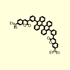 CCN(CC)c1ccc2cc(-c3cccc(-c4c5ccccc5c(-c5c6ccccc6c(-c6cccc(-c7cc8ccc(N(CC)CC)cc8oc7=O)c6)c6ccccc56)c5ccccc45)c3)c(=O)oc2c1